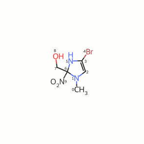 CN1C=C(Br)NC1(CO)[N+](=O)[O-]